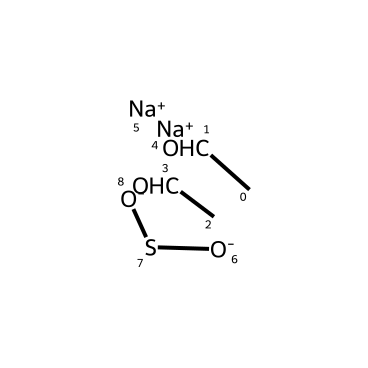 CC=O.CC=O.[Na+].[Na+].[O-]S[O-]